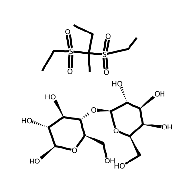 CCC(C)(S(=O)(=O)CC)S(=O)(=O)CC.OC[C@H]1O[C@@H](O[C@H]2[C@H](O)[C@@H](O)[C@H](O)O[C@@H]2CO)[C@H](O)[C@@H](O)[C@H]1O